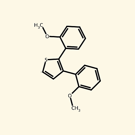 COc1ccccc1-c1c[c]sc1-c1ccccc1OC